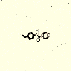 [CH2]Cc1ccc(NC(=O)N2CCOCC2)cc1